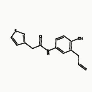 C=CCc1cc(NC(=O)Cc2ccsc2)ccc1O